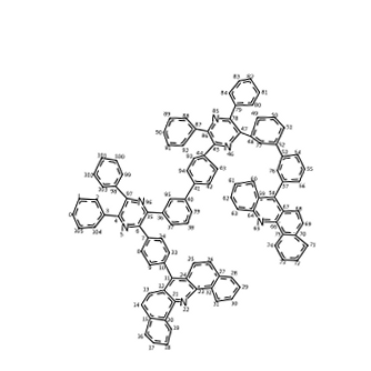 c1ccc(-c2nc(-c3ccc(-c4c5ccc6ccccc6c5nc5c4ccc4ccccc45)cc3)c(-c3cccc(-c4ccc(-c5nc(-c6cccc(-c7cccc(-c8c9ccccc9nc9c8ccc8ccccc89)c7)c6)c(-c6ccccc6)nc5-c5ccccc5)cc4)c3)nc2-c2ccccc2)cc1